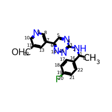 CC(Nc1ncc(-c2cncc(C=O)c2)nn1)c1ccc(F)cc1